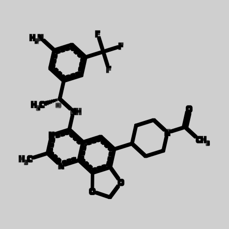 CC(=O)N1CCC(c2cc3c(N[C@H](C)c4cc(N)cc(C(F)(F)F)c4)nc(C)nc3c3c2OCO3)CC1